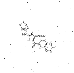 CC(=O)Nc1nc(N[C@H]2CC3CCC2C3)sc1C(=O)c1ccc2c(c1)OCCO2